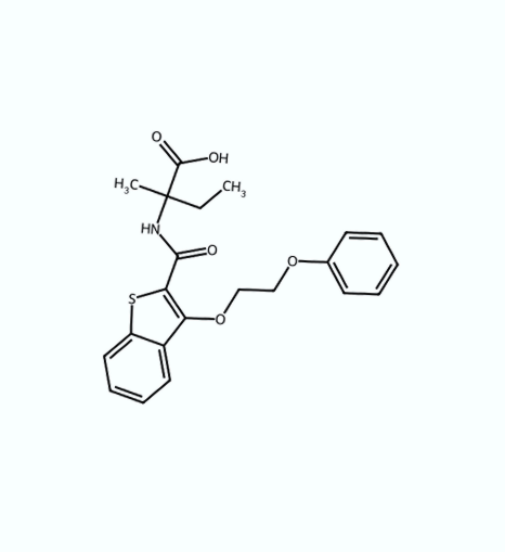 CCC(C)(NC(=O)c1sc2ccccc2c1OCCOc1ccccc1)C(=O)O